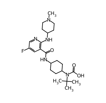 CN1CCC(Nc2ncc(F)cc2C(=O)NC2CCC(N(C(=O)O)C(C)(C)C)CC2)CC1